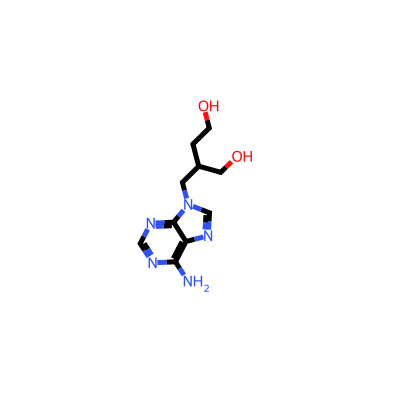 Nc1ncnc2c1ncn2CC(CO)CCO